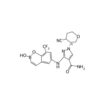 N#CC1CCOC[C@@H]1n1cc(C(N)=O)c(Nc2cc3c(c(C(F)(F)F)c2)OB(O)C=C3)n1